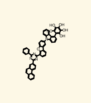 Oc1c(O)c(O)c(-c2cccc3c2c2ccccc2n3-c2ccc3oc4c(-c5nc(-c6ccccc6)nc(-c6ccc7c(ccc8ccccc87)c6)n5)cccc4c3c2)c(O)c1O